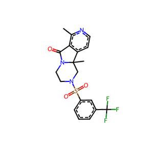 Cc1nccc2c1C(=O)N1CCN(S(=O)(=O)c3cccc(C(F)(F)F)c3)CC21C